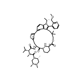 CCn1c(-c2cccnc2[C@H](C)OC)c2c3cc(ccc31)-c1csc(n1)C[C@H](NC(=O)[C@H](C(C)C)N(C)C(=O)N1C[C@H](C)N(C)C[C@H]1C)C(=O)N1CCC[C@H](N1)C(=O)OCC(C)(C)C2